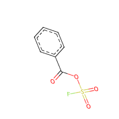 O=C(OS(=O)(=O)F)c1ccccc1